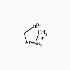 CCCCCCC.CN.F